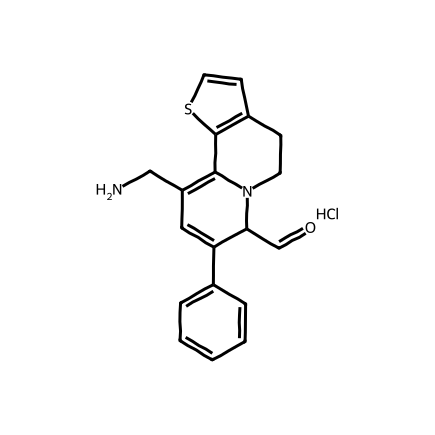 Cl.NCC1=C2c3sccc3CCN2C(C=O)C(c2ccccc2)=C1